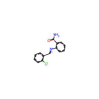 NC(=O)c1ccccc1/N=C/c1ccccc1Cl